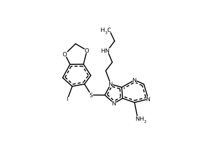 CCNCCn1c(Sc2cc3c(cc2I)OCO3)nc2c(N)ncnc21